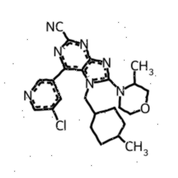 CC1CCC(Cn2c(N3CCOCC3C)nc3nc(C#N)nc(-c4cncc(Cl)c4)c32)CC1